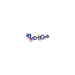 Cc1nccc(C(=O)N2CCC(c3nc4c(s3)CCN(C3CCC3)CC4)CC2)n1